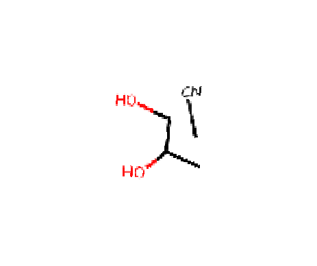 CC#N.CC(O)CO